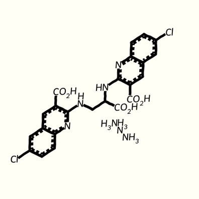 N.N.N.O=C(O)c1cc2cc(Cl)ccc2nc1NCC(Nc1nc2ccc(Cl)cc2cc1C(=O)O)C(=O)O